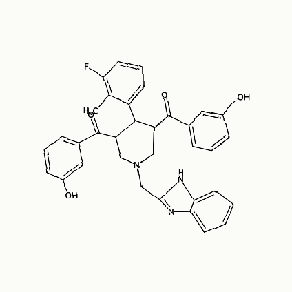 Cc1c(F)cccc1C1C(C(=O)c2cccc(O)c2)CN(Cc2nc3ccccc3[nH]2)CC1C(=O)c1cccc(O)c1